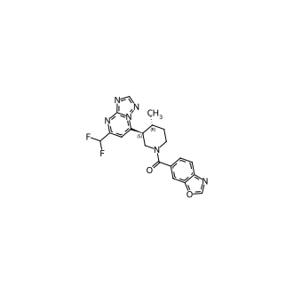 C[C@@H]1CCN(C(=O)c2ccc3ncoc3c2)C[C@H]1c1cc(C(F)F)nc2ncnn12